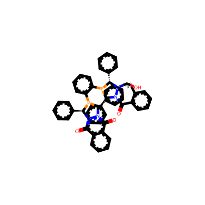 Cc1ccccc1C(=O)N1[C@@H](c2ccccc2)P(c2ccccc2P2[C@H](c3ccccc3)n3c(=O)c4ccccc4c(=O)n3[C@H]2c2ccccc2)[C@H](c2ccccc2)N1CO